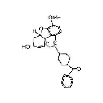 COc1ccc2c3c1O[C@H]1C[C@@H](O)C=C[C@@]31CCN(C1CCC(C(=O)c3ccccc3)CC1)C2